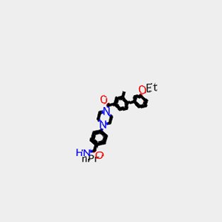 CCCNC(=O)c1ccc(N2CCN(C(=O)c3ccc(-c4cccc(OCC)c4)c(C)c3)CC2)cc1